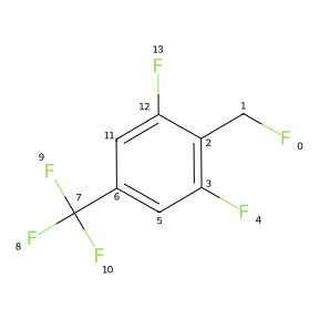 FCc1c(F)cc(C(F)(F)F)cc1F